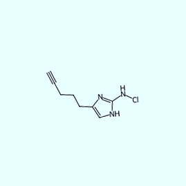 C#CCCCc1c[nH]c(NCl)n1